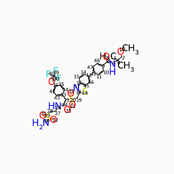 COCC(C)(C)NC(=O)c1ccc(-c2ccc3nc(CS(=O)(=O)C(C(=O)NCCS(N)(=O)=O)c4ccc(OC(F)(F)F)cc4)sc3c2)cc1